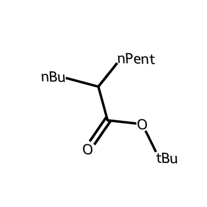 CCCCCC(CCCC)C(=O)OC(C)(C)C